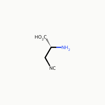 [C-]#[N+]C[C@@H](N)C(=O)O